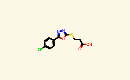 O=C(O)CCSc1nnc(-c2ccc(Cl)cc2)o1